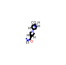 CCN(C)C(=O)C1[C@H]2CN(C3C[C@@H]4CC[C@H]3CN4C(=O)O)C[C@@H]12